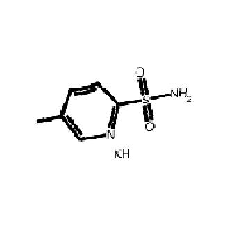 Cc1ccc(S(N)(=O)=O)nc1.[KH]